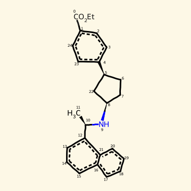 CCOC(=O)c1ccc([C@H]2CC[C@@H](N[C@H](C)c3cccc4ccccc34)C2)cc1